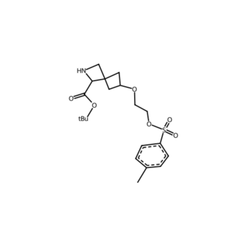 Cc1ccc(S(=O)(=O)OCCOC2CC3(CNC3C(=O)OC(C)(C)C)C2)cc1